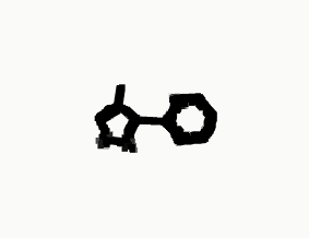 CC1=C[N]N=C1c1ccccc1